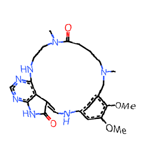 COc1cc2cc(c1OC)CN(C)CCCC(=O)N(C)CCNc1ncnc3c1/C(=C/N2)C(=O)N3